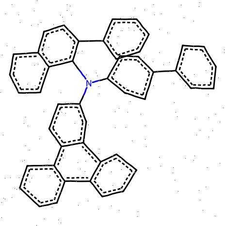 c1ccc(-c2ccc(N(c3ccc4c5ccccc5c5ccccc5c4c3)c3c(-c4ccccc4)ccc4ccccc34)cc2)cc1